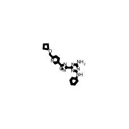 Nc1nc(Nc2ccccc2)nc(-c2noc(-c3ccc(COC4CCC4)nc3)n2)n1